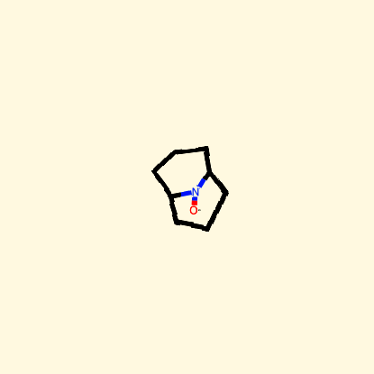 [O]N1C2CCCC1CCC2